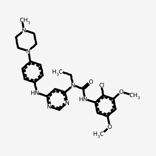 CCN(C(=O)Nc1cc(OC)cc(OC)c1Cl)c1cc(Nc2ccc(N3CCN(C)CC3)cc2)ncn1